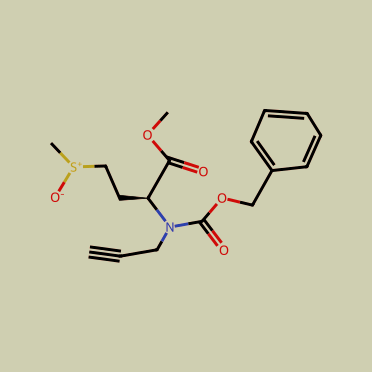 C#CCN(C(=O)OCc1ccccc1)[C@@H](CC[S+](C)[O-])C(=O)OC